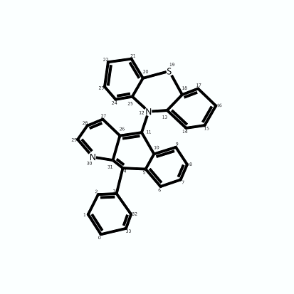 c1ccc(-c2c3ccccc3c(N3c4ccccc4Sc4ccccc43)c3cccnc23)cc1